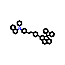 C(=C\c1ccc(N(c2ccccc2)c2cccc3ccccc23)cc1)/c1ccc(-c2cc3c4c(ccc5cccc(c54)C3(c3ccccc3)c3ccccc3)c2)cc1